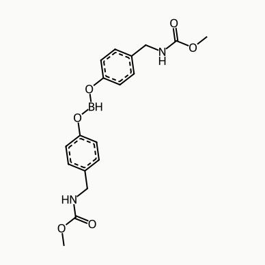 COC(=O)NCc1ccc(OBOc2ccc(CNC(=O)OC)cc2)cc1